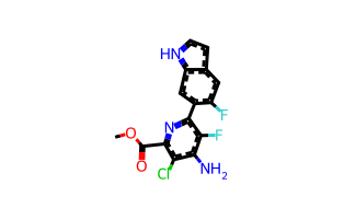 COC(=O)c1nc(-c2cc3[nH]ccc3cc2F)c(F)c(N)c1Cl